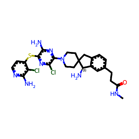 CNC(=O)CCc1ccc2c(c1)[C@@H](N)C1(CCN(c3nc(N)c(Sc4ccnc(N)c4Cl)nc3Cl)CC1)C2